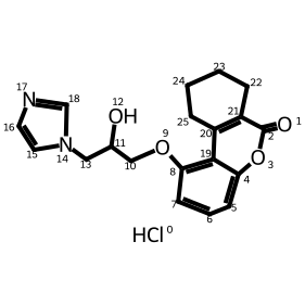 Cl.O=c1oc2cccc(OCC(O)Cn3ccnc3)c2c2c1CCCC2